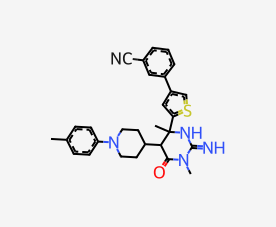 Cc1ccc(N2CCC(C3C(=O)N(C)C(=N)NC3(C)c3cc(-c4cccc(C#N)c4)cs3)CC2)cc1